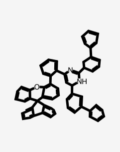 C1=CC(C2=NC(c3ccccc3-c3cccc4c3Oc3ccccc3C43c4ccccc4-c4ccccc43)=CC(c3cccc(-c4ccccc4)c3)N2)CC(c2ccccc2)=C1